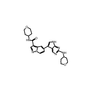 O=C(NC1CCOCC1)c1cnn2ccc(-c3c[nH]c4nc(NC5CCOCC5)ncc34)cc12